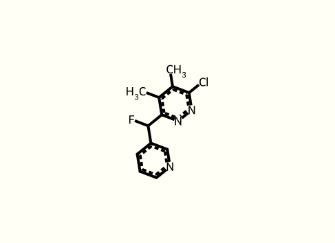 Cc1c(Cl)nnc(C(F)c2cccnc2)c1C